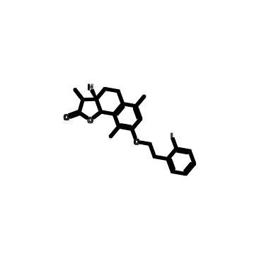 Cc1cc(OCCc2ccccc2I)c(C)c2c1CC[C@H]1C(C)C(=O)OC21